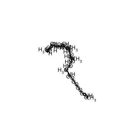 CC(=O)Nc1ccc(OCCOCCOCCOCCOCCOCCC(=O)NCCCN(C)CCCNC(=O)CCNC(=O)c2nc(NC(=O)CCNC(=O)c3cc(NC(=O)c4nc(NC(=O)CCNC(=O)c5cc(NC(=O)c6nccn6C)cn5C)cn4C)cn3C)cn2C)cc1